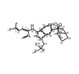 C=N/C(=C\C=C(/C)F)Nc1nn(CC(F)(F)F)c2cc(C(=O)N3C4CCC3CC(O)C4)ncc12